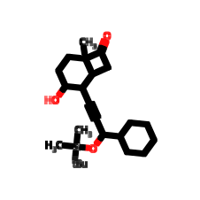 CC12CCC(O)C(C#CC(O[Si](C)(C)C(C)(C)C)C3CCCCC3)C1CC2=O